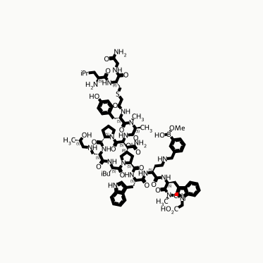 CCC(C)[C@H](NC(=O)[C@H](CNC[C@H](C)O)NC(=O)[C@@H]1CCCN1C(=O)[C@H](CC(N)=O)NC(=O)[C@H](C)N(C)C(=O)[C@H](Cc1ccc(O)cc1)NC(=O)CSC[C@H](NC(=O)[C@@H](N)CC(C)C)C(=O)NCC(N)=O)C(=O)N1C[C@H](O)C[C@H]1C(=O)N[C@@H](Cc1c[nH]c2ccccc12)C(=O)N[C@@H](CCNCc1cccc(B(O)OC)c1)C(=O)N[C@@H](Cc1cn(CC(=O)O)c2ccccc12)C(=O)N(C)C